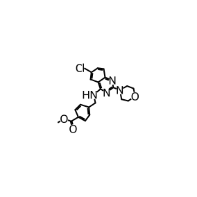 COC(=O)c1ccc(CNc2nc(N3CCOCC3)nc3ccc(Cl)cc23)cc1